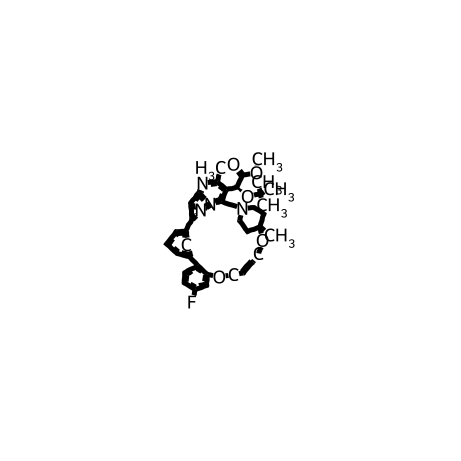 COC(=O)[C@@H](OC(C)(C)C)c1c(C)nc2cc3nn2c1N1CCC(C)(CC1)OCC=CCOc1cc(F)ccc1-c1cccc-3c1